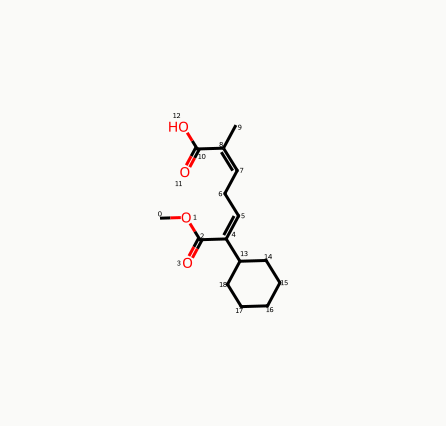 COC(=O)C(=CCC=C(C)C(=O)O)C1CCCCC1